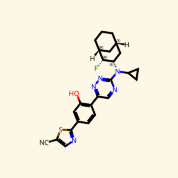 N#Cc1cnc(-c2ccc(-c3cnc(N(C4CC4)[C@H]4C[C@H]5CCC[C@H](C5)[C@H]4F)nn3)c(O)c2)s1